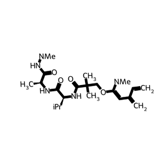 C=CC(=C)/C=C(\NC)OCC(C)(C)C(=O)N[C@H](C(=O)N[C@@H](C)C(=O)NNC)C(C)C